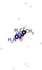 Cc1cc2cc(C(=O)N3CCC[C@@H](N)C3)[nH]c2c(C)c1F